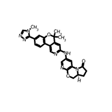 Cn1cnnc1-c1ccc2c(c1)OC(C)(C)c1cc(Nc3cnc4c(c3)N3C(=O)CC[C@H]3CO4)ncc1-2